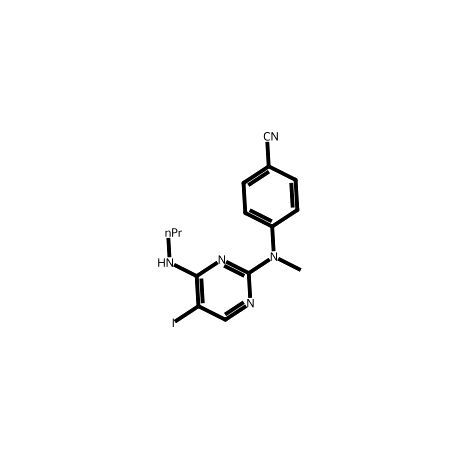 CCCNc1nc(N(C)c2ccc(C#N)cc2)ncc1I